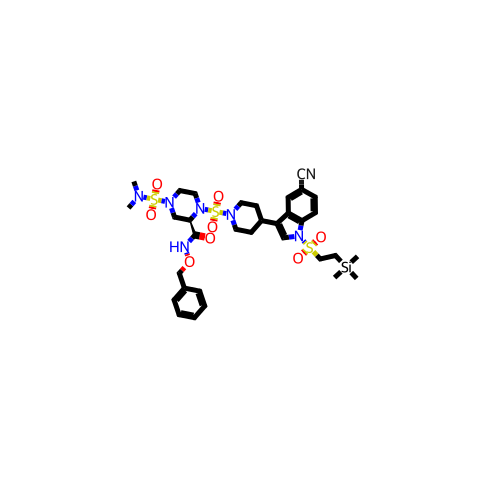 CN(C)S(=O)(=O)N1CCN(S(=O)(=O)N2CCC(c3cn(S(=O)(=O)CC[Si](C)(C)C)c4ccc(C#N)cc34)CC2)[C@@H](C(=O)NOCc2ccccc2)C1